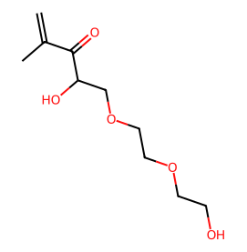 C=C(C)C(=O)C(O)COCCOCCO